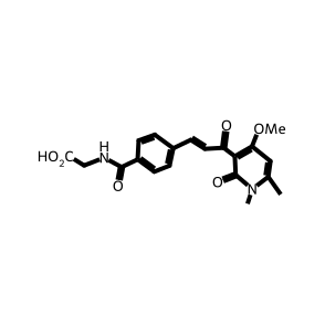 COc1cc(C)n(C)c(=O)c1C(=O)/C=C/c1ccc(C(=O)NCC(=O)O)cc1